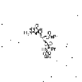 CCCC(=O)OCC(CCOC(=O)[C@@H](NC(=O)OC(C)(C)C)C(C)C)Cn1cnc2c(=O)[nH]c(N)nc21